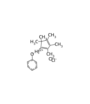 CC1=C(C)C(C)(C)[C]([Hf+2][O]c2ccccc2)=C1C.[Cl-].[Cl-]